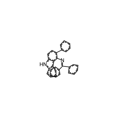 c1ccc(C(=Nc2c(-c3ccccc3)ccc3[nH]c4ccccc4c23)c2ccccc2)cc1